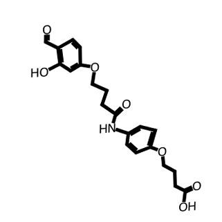 O=Cc1ccc(OCCCC(=O)Nc2ccc(OCCCC(=O)O)cc2)cc1O